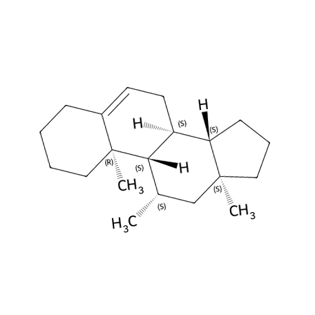 C[C@H]1C[C@]2(C)CCC[C@H]2[C@@H]2CC=C3CCCC[C@]3(C)[C@H]21